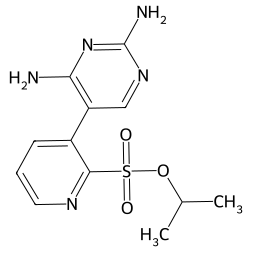 CC(C)OS(=O)(=O)c1ncccc1-c1cnc(N)nc1N